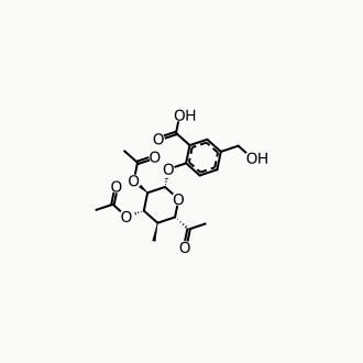 CC(=O)O[C@H]1[C@H](Oc2ccc(CO)cc2C(=O)O)O[C@H](C(C)=O)[C@@H](C)[C@@H]1OC(C)=O